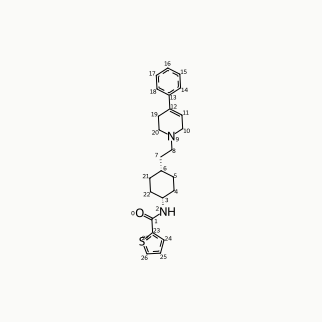 O=C(N[C@H]1CC[C@@H](CCN2CC=C(c3ccccc3)CC2)CC1)c1cccs1